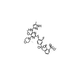 COc1c(Nc2cc(C)[nH]n2)nc(Sc2ccc(S(=O)(=O)Cc3cccc([N+](=O)[O-])c3F)cc2F)nc1N1CCOC[C@H]1C